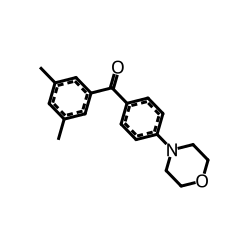 Cc1cc(C)cc(C(=O)c2ccc(N3CCOCC3)cc2)c1